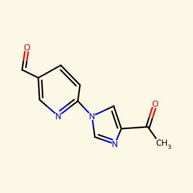 CC(=O)c1cn(-c2ccc(C=O)cn2)cn1